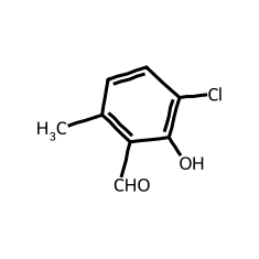 Cc1ccc(Cl)c(O)c1C=O